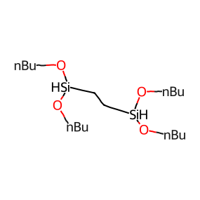 CCCCO[SiH](CC[SiH](OCCCC)OCCCC)OCCCC